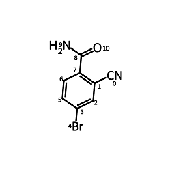 N#Cc1cc(Br)ccc1C(N)=O